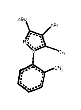 CCCCc1nn(-c2ccccc2C)c(O)c1CCC